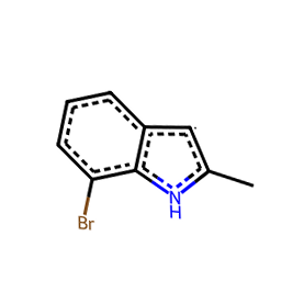 Cc1[c]c2cccc(Br)c2[nH]1